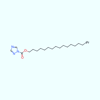 CC(C)CCCCCCCCCCCCCCCOC(=O)n1cncn1